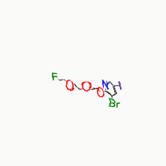 FCCOCCOCCOc1ncc(I)cc1Br